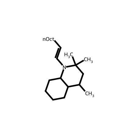 CCCCCCCCC=CN1C2CCCCC2C(C)CC1(C)C